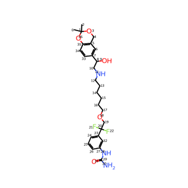 CC1(C)OCc2cc(C(O)CNCCCCCCOCC(F)(F)c3cccc(NC(N)=O)c3)ccc2O1